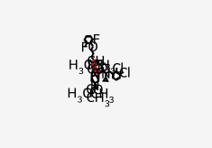 CC(C)(C)OC(=O)N1CC2CC(c3nc(CCCOc4c(F)cccc4F)cs3)=C(C(=O)N(Cc3cccc(Cl)c3Cl)C3CC3)C(C1)N2C(=O)OC(C)(C)C